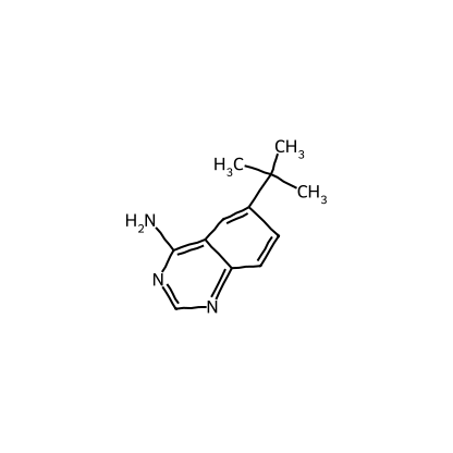 CC(C)(C)c1ccc2ncnc(N)c2c1